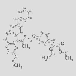 CCCc1ccc2c(c1)C(N(C)CCOc1ccc(CC(OCC)C(=O)OCC)cc1)c1ccc(Cc3ccccc3)cc1CC2